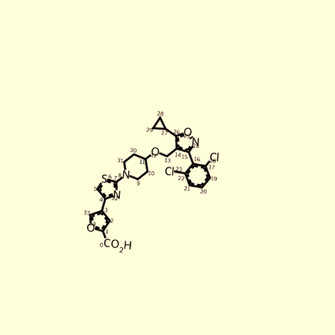 O=C(O)c1cc(-c2csc(N3CCC(OCc4c(-c5c(Cl)cccc5Cl)noc4C4CC4)CC3)n2)co1